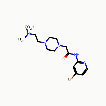 CN(CCN1CCN(CC(=O)Nc2cc(Br)ccn2)CC1)C(=O)O